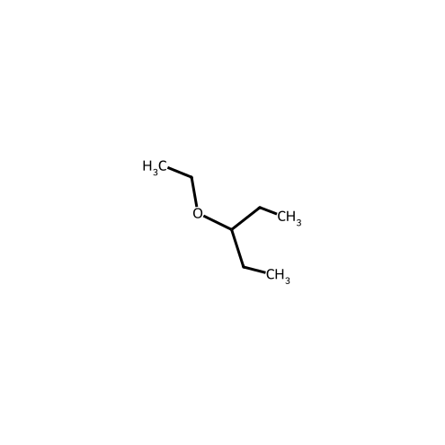 CCOC(CC)CC